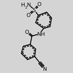 N#Cc1cccc(C(=O)Nc2cccc(S(N)(=O)=O)c2)c1